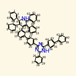 c1ccc(C2=C(c3ccccc3)C(c3cccc(-c4ccc(C5=NC(c6ccccc6)NC(c6ccc(-c7ccccc7)cc6)=N5)cc4)c3)=C(c3ccccc3)C(c3ccccc3)N2)cc1